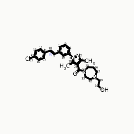 Cc1nn(-c2cccc(/C=C/c3ccc(Cl)cc3)c2)c(C)c1C(=O)N1CCCN(CCO)CC1